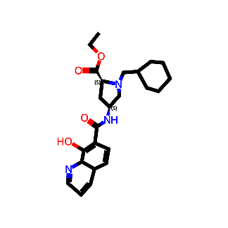 CCOC(=O)[C@@H]1C[C@H](NC(=O)C2=C(O)C3N=CC=CC3C=C2)CN1CC1CCCCC1